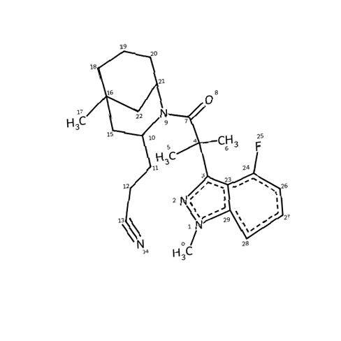 Cn1nc(C(C)(C)C(=O)N2C(CCC#N)CC3(C)CCCC2C3)c2c(F)cccc21